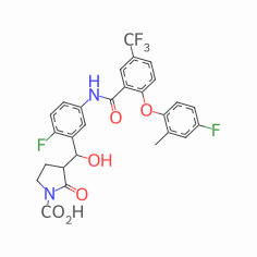 Cc1cc(F)ccc1Oc1ccc(C(F)(F)F)cc1C(=O)Nc1ccc(F)c(C(O)C2CCN(C(=O)O)C2=O)c1